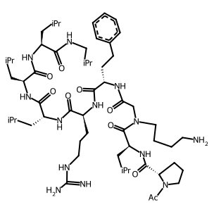 CC(=O)N1CCC[C@H]1C(=O)N[C@@H](CC(C)C)C(=O)N(CCCCN)CC(=O)N[C@@H](CCc1ccccc1)C(=O)N[C@@H](CCCNC(=N)N)C(=O)N[C@H](CC(C)C)C(=O)N[C@@H](CC(C)C)C(=O)N[C@@H](CC(C)C)C(=O)NCC(C)C